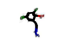 NN=Cc1cc(Cl)cc(Cl)c1O